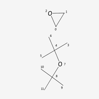 C1CO1.CC(C)(C)OC(C)(C)C